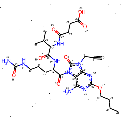 C#CCn1c(=O)n(C(=O)[C@H](CCCNC(N)=O)NC(=O)[C@@H](NC(=O)CCC(=O)O)C(C)C)c2c(N)nc(OCCCC)nc21